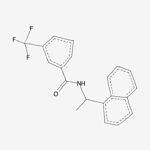 CC(NC(=O)c1cccc(C(F)(F)F)c1)c1cccc2ccccc12